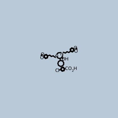 O=C(O)c1ccc(Cl)cc1.OC1CN(CCCCc2ccc3c(c2)OCO3)CCCN(CCCCc2ccc3c(c2)OCO3)CC1C1CCCCCCCC1